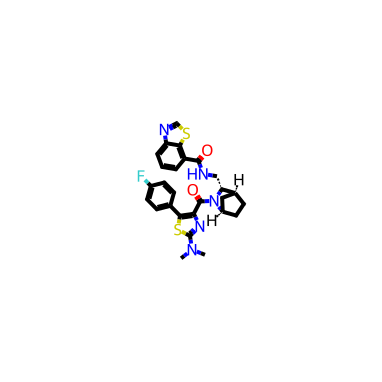 CN(C)c1nc(C(=O)N2[C@@H]3CC[C@@H](C3)[C@H]2CNC(=O)c2cccc3ncsc23)c(-c2ccc(F)cc2)s1